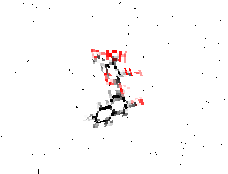 OC[C@H]1O[C@@H](Oc2cc3ccccc3cc2O)[C@@H](O)C1O